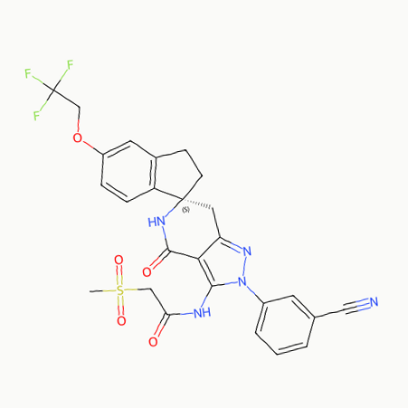 CS(=O)(=O)CC(=O)Nc1c2c(nn1-c1cccc(C#N)c1)C[C@]1(CCc3cc(OCC(F)(F)F)ccc31)NC2=O